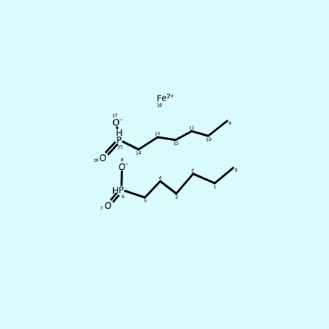 CCCCCC[PH](=O)[O-].CCCCCC[PH](=O)[O-].[Fe+2]